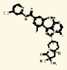 COc1cc(C(=O)Nc2cc(C(F)(F)F)ccn2)cc(F)c1-c1nc([C@@H]2CC[C@H]3CC(C)(C)C(=O)N3C2)n2c(F)cnc(N)c12